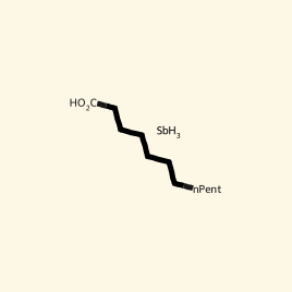 CCCCCCCCCCCC(=O)O.[SbH3]